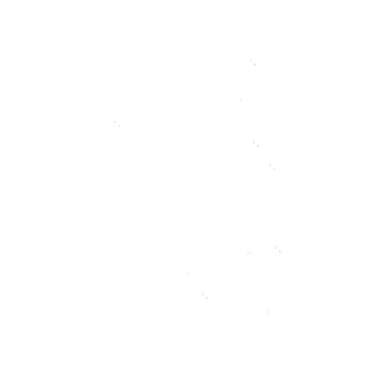 CC(NC(=O)OCc1ccccc1)C(=O)NC(C)C(=O)NN(CC(N)=O)C(=O)/C=C/C(=O)N1CCCCC1